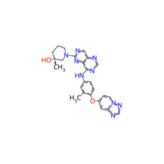 Cc1cc(Nc2ncnc3cnc(N4CCC[C@@](C)(O)C4)nc23)ccc1Oc1ccn2ncnc2c1